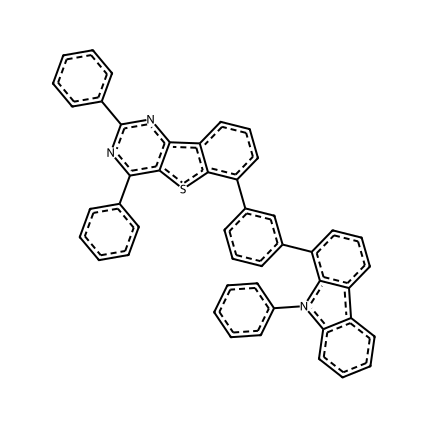 c1ccc(-c2nc(-c3ccccc3)c3sc4c(-c5cccc(-c6cccc7c8ccccc8n(-c8ccccc8)c67)c5)cccc4c3n2)cc1